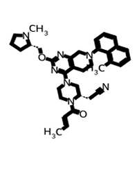 C/C=C/C(=O)N1CCN(c2nc(OC[C@@H]3CCCN3C)nc3c2CCN(c2cccc4cccc(C)c24)C3)C[C@@H]1CC#N